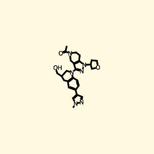 CC(=O)N1CCc2c(c(N3CC(CO)Cc4cc(-c5cnn(C)c5)ccc43)nn2C2CCOC2)C1